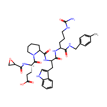 Cc1ccc(CNC(=O)C(CCCNC(N)=O)NC(=O)C(Cc2c[nH]c3ccccc23)NC(=O)C2CCCCN2C(=O)[C@H](CCC(=O)O)NC(=O)C2CO2)cc1